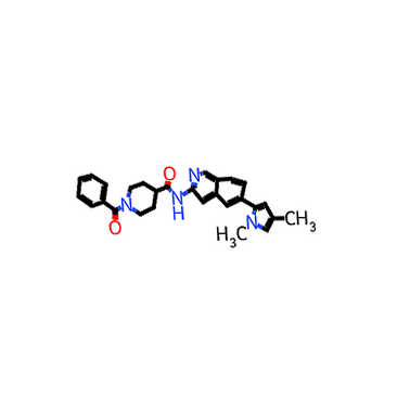 Cc1cc(-c2ccc3cnc(NC(=O)C4CCN(C(=O)c5ccccc5)CC4)cc3c2)n(C)c1